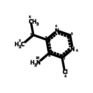 CC(C)c1ncnc(Cl)c1N